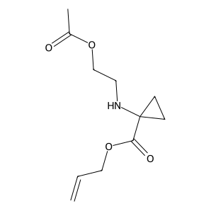 C=CCOC(=O)C1(NCCOC(C)=O)CC1